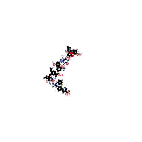 C=CCC1(CC(C)C)C(=O)NC(=O)NC1=O.CC(C)Cc1ccc(C(C)C(=O)O)cc1.CC(CN1c2ccccc2Sc2ccccc21)N(C)C.COc1cccc([C@@]2(O)CCCC[C@@H]2CN(C)C)c1.Cn1c(=O)c2c(ncn2C)n(C)c1=O.O=C(O)c1cccnc1.O=C1CC[C@@]2(O)[C@H]3Cc4ccc(O)c5c4[C@@]2(CCN3CC2CC2)[C@H]1O5